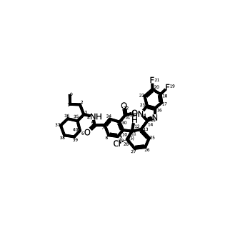 CCCC(NC(=O)c1ccc(C2(C)C(c3nc4cc(F)c(F)cc4[nH]3)=CC=C[C@@H]2Cl)c(C(=O)O)c1)C1CCCCC1